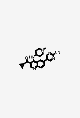 CN1CCC(Nc2c(C(=O)C3CC3)cnc3ccc(-c4cnc(C#N)nc4)cc23)CC1